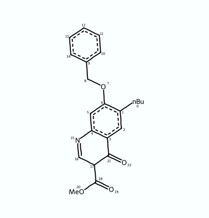 CCCCc1cc2c(cc1OCc1ccccc1)N=CC(C(=O)OC)C2=O